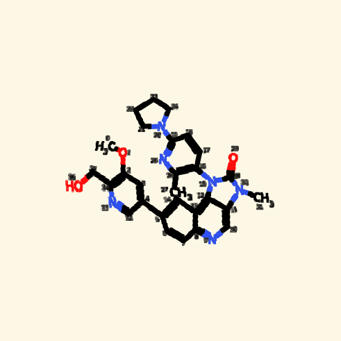 COc1cc(-c2ccc3ncc4c(c3c2)n(-c2ccc(N3CCCC3)nc2C)c(=O)n4C)cnc1CO